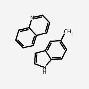 Cc1ccc2[nH]ccc2c1.c1ccc2ncccc2c1